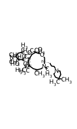 CO[C@]1(C)C[C@@H](C)CN(C)[C@@H](CCCN2CCC(C)(C)CC2)COC(=O)C(C)(C)C(=O)[C@H](C)[C@H]1O[C@@H]1O[C@H](C)C[C@H](N(C)C)[C@H]1O